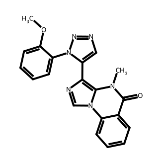 COc1ccccc1-n1nncc1-c1ncn2c3ccccc3c(=O)n(C)c12